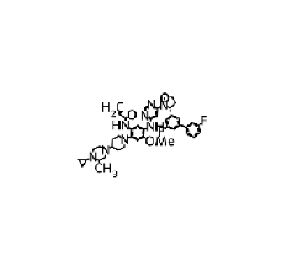 C=CC(=O)Nc1cc(Nc2cc(N3OCC[C@@H]3c3cc(F)cc(-c4cccc(F)c4)c3)ncn2)c(OC)cc1N1CCC(N2CCN(C3CC3)[C@H](C)C2)CC1